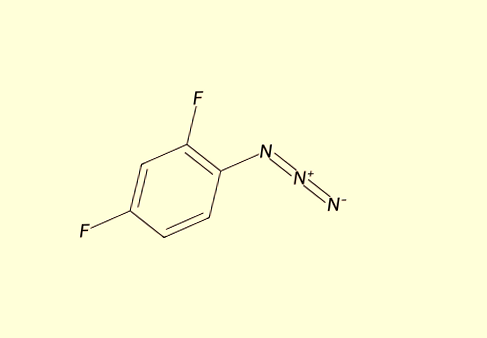 [N-]=[N+]=Nc1ccc(F)cc1F